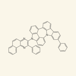 c1ccc(-c2ccc3c4cccc5c6cccc7c6c6c(cccc6n(c3c2)c54)n7-c2nc3ccc4ccccc4c3nc2-c2ccccc2)cc1